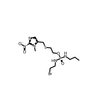 CCCNP(=O)(NCCBr)OCCSCc1cnc([N+](=O)[O-])n1C